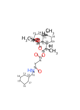 C[C@H]1[C@H](OC(=O)CCC(=O)NCC2CCCCC2)O[C@@H]2O[C@@]3(C)CC[C@H]4[C@H](C)CC[C@@H]1[C@@]24OO3